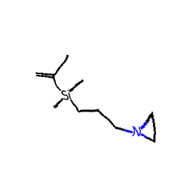 C=C(C)[Si](C)(C)CCCN1CC1